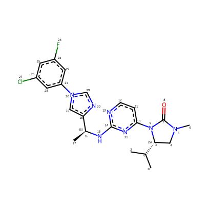 CC(C)[C@H]1CN(C)C(=O)N1c1ccnc(N[C@@H](C)c2cn(-c3cc(F)cc(Cl)c3)cn2)n1